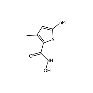 CCCc1cc(C)c(C(=O)NO)s1